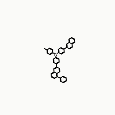 Cc1ccc(N(c2ccc(-c3ccc4ccccc4c3)cc2)c2ccc(-c3ccc4c(-c5ccccc5)cccc4c3)cc2)cc1